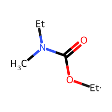 C[CH]OC(=O)N(C)CC